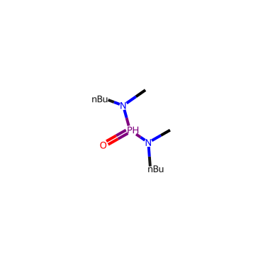 CCCCN(C)[PH](=O)N(C)CCCC